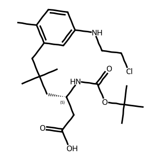 Cc1ccc(NCCCl)cc1CC(C)(C)C[C@@H](CC(=O)O)NC(=O)OC(C)(C)C